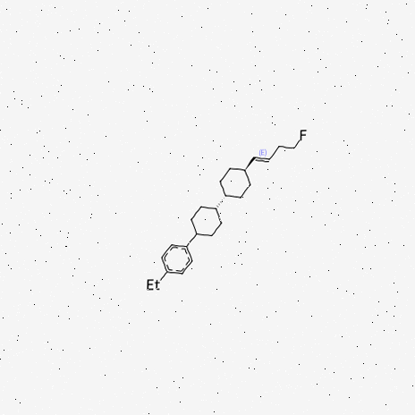 CCc1ccc(C2CCC([C@H]3CC[C@H](/C=C/CCF)CC3)CC2)cc1